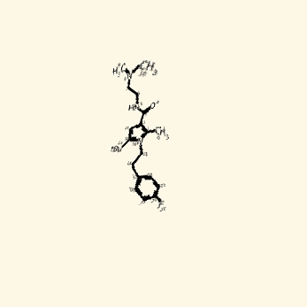 Cc1c(C(=O)NCCN(C)C)cc(C(C)(C)C)n1CCc1ccc(F)cc1